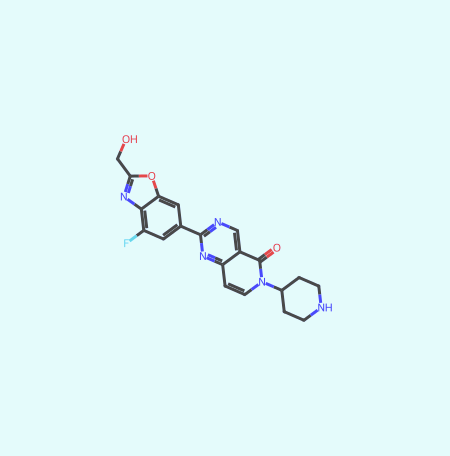 O=c1c2cnc(-c3cc(F)c4nc(CO)oc4c3)nc2ccn1C1CCNCC1